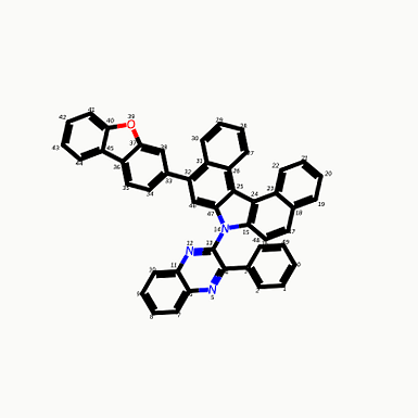 c1ccc(-c2nc3ccccc3nc2-n2c3ccc4ccccc4c3c3c4ccccc4c(-c4ccc5c(c4)oc4ccccc45)cc32)cc1